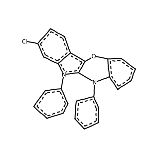 Clc1ccc2c3c(n(-c4ccccc4)c2c1)N(c1ccccc1)c1ccccc1O3